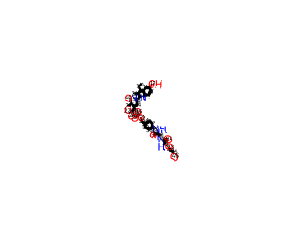 CCc1c2c(nc3ccc(O)cc13)-c1cc3c(c(=O)n1C2)COC(=O)[C@H]3OC(=O)OCc1ccc(NC(=O)CNC(=O)COCC=O)cc1